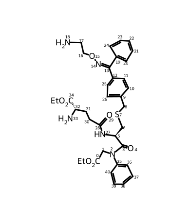 CCOC(=O)CN(C(=O)[C@H](CSCc1ccc(C(=NOCCN)c2ccccc2)cc1)NC(=O)CC[C@H](N)C(=O)OCC)c1ccccc1